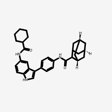 O=C(Nc1ccc2[nH]cc(-c3ccc(NC(=O)C4C5C[C@H]6C[C@@H](C5)C[C@@H]4C6)cc3)c2c1)C1CCCCC1